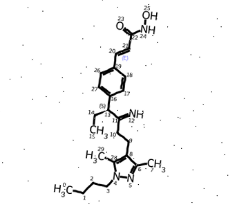 CCCCn1nc(C)c(CCC(=N)[C@@H](CC)c2ccc(/C=C/C(=O)NO)cc2)c1C